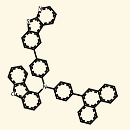 c1ccc2c(c1)cc(-c1ccc(N(c3ccc(-c4ccc5sc6ncccc6c5c4)cc3)c3cccc4oc5ccccc5c34)cc1)c1ccccc12